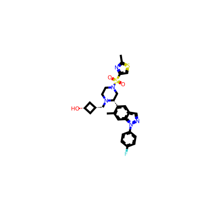 Cc1nc(S(=O)(=O)N2CCN(C[C@H]3C[C@@H](O)C3)[C@@H](c3cc4cnn(-c5ccc(F)cc5)c4cc3C)C2)cs1